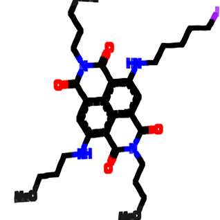 COCCCNc1cc2c3c(c(NCCCCCI)cc4c3c1C(=O)N(CCCOC)C4=O)C(=O)N(CCCOC)C2=O